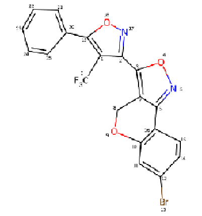 FC(F)(F)c1c(-c2onc3c2COc2cc(Br)ccc2-3)noc1-c1ccccc1